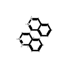 c1ccc2cnncc2c1.c1ccc2nnccc2c1